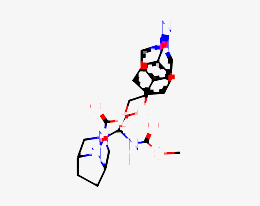 COC(=O)N[C@H](COc1ccc(C#N)cc1)CN1C2CCC1CN(C(=O)OCCc1ccncc1)C2